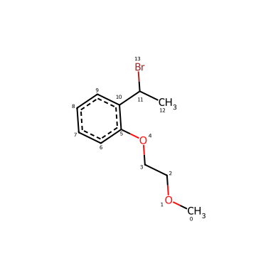 COCCOc1ccccc1C(C)Br